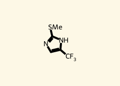 CSc1ncc(C(F)(F)F)[nH]1